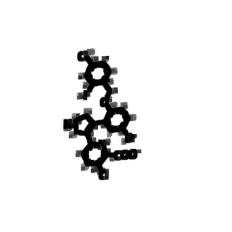 O=C([O-])c1nc(C2=C(c3cc(Br)ccc3OCc3ccc(Cl)cc3F)CCC2)ccc1Cl.[Na+]